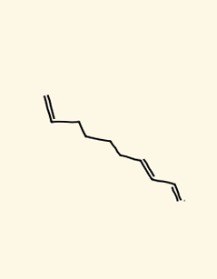 [CH]=C/C=C/CCCCC=C